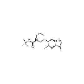 Cc1nc2c(ccn2C)cc1C1CCCN(C(=O)OC(C)(C)C)C1